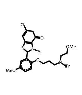 COCCN(CCCOc1ccc(OC)cc1C1SC2=C(C(=O)CC(Cl)=C2)N1C(C)=O)C(C)C